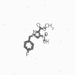 COC(=O)c1nn(Cc2ccc(F)cc2)cc1[N+](=O)O